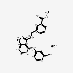 COC(=O)c1cccc(CNc2n[nH]c3ncnc(Nc4cccc(Cl)c4)c23)c1.Cl